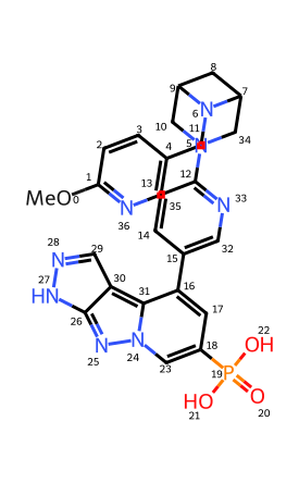 COc1ccc(CN2C3CC2CN(c2ccc(-c4cc(P(=O)(O)O)cn5nc6[nH]ncc6c45)cn2)C3)cn1